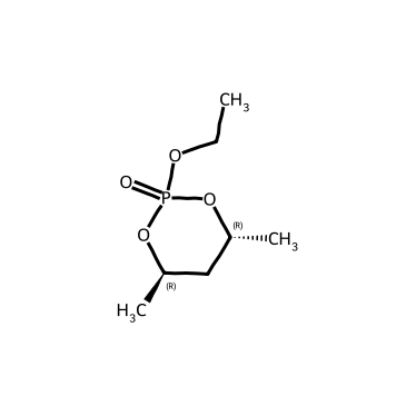 CCOP1(=O)O[C@H](C)C[C@@H](C)O1